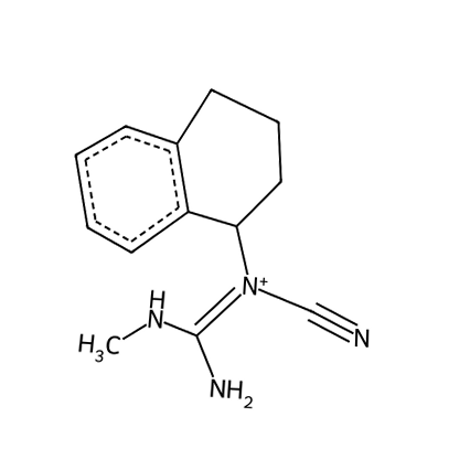 CNC(N)=[N+](C#N)C1CCCc2ccccc21